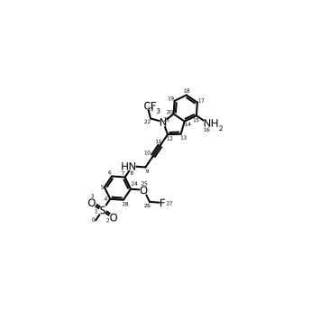 CS(=O)(=O)c1ccc(NCC#Cc2cc3c(N)cccc3n2CC(F)(F)F)c(OCF)c1